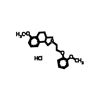 COc1ccccc1OCCN1CC2CCc3c(OC)cccc3C2C1.Cl